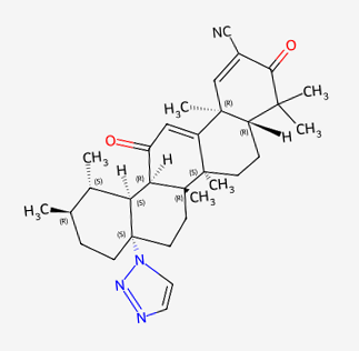 C[C@@H]1[C@H]2[C@H]3C(=O)C=C4[C@@]5(C)C=C(C#N)C(=O)C(C)(C)[C@@H]5CC[C@@]4(C)[C@]3(C)CC[C@@]2(n2ccnn2)CC[C@H]1C